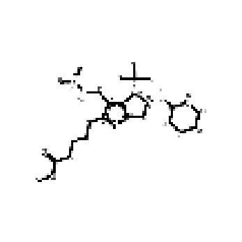 COC(=O)CCCCc1oc2c(c1CO[SiH](C)C)[C@H](C(C)(C)C)[C@H](OC1CCCCO1)C2